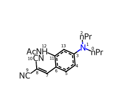 CCCN(CCC)c1ccc(C=C(C#N)C#N)c(NC(C)=O)c1